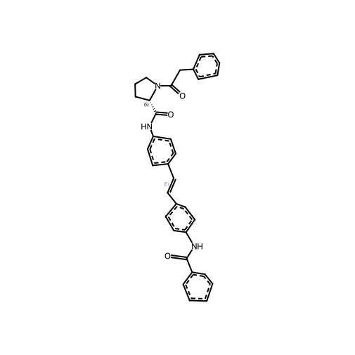 O=C(Nc1ccc(/C=C/c2ccc(NC(=O)[C@@H]3CCCN3C(=O)Cc3ccccc3)cc2)cc1)c1ccccc1